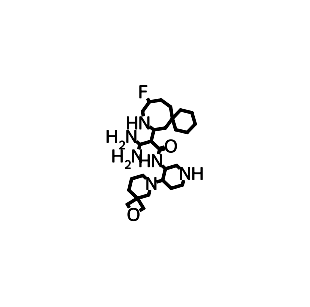 NC(N)C(C(=O)NC1CNCCC1N1CCCC2(COC2)C1)C1CC2(CCCCC2)CCC(F)CN1